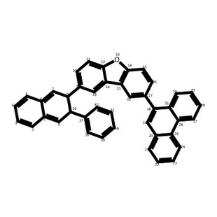 C1=c2ccccc2=CC(c2ccc3oc4ccc(-c5cc6ccccc6c6ccccc56)cc4c3c2)C1c1ccccc1